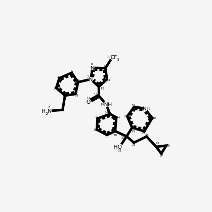 NCc1cccc(-n2nc(C(F)(F)F)cc2C(=O)Nc2cccc(C(O)(CCC3CC3)c3ccncc3)c2)c1